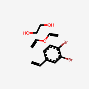 C=COC=C.C=Cc1ccc(Br)c(Br)c1.OCCO